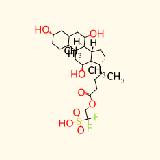 C[C@H](CCC(=O)OCC(F)(F)S(=O)(=O)O)[C@H]1CC[C@H]2[C@@H]3[C@H](O)CC4C[C@H](O)CC[C@]4(C)[C@H]3C[C@H](O)[C@]12C